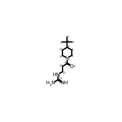 CC(C)(C)C1CCN(C(=O)CCNC(=N)N)CC1